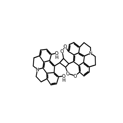 Oc1ccc2c3c4c5c(ccc(O)c5c(C5C6OOc7ccc8c9c%10c%11c(ccc%12c%11c(c79)C6C5OO%12)CCN%10CC8)c13)CCN4CC2